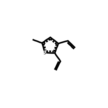 C=Cc1cc(C)sc1C=C